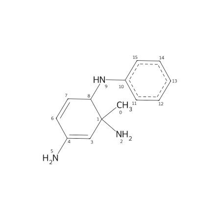 CC1(N)C=C(N)C=CC1Nc1ccccc1